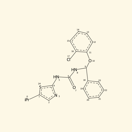 CC(C)c1cnc(NC(=O)NC(Oc2ccccc2Cl)c2ccccc2)s1